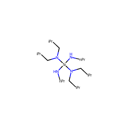 CCCN[Si](NCCC)(N(CC(C)C)CC(C)C)N(CC(C)C)CC(C)C